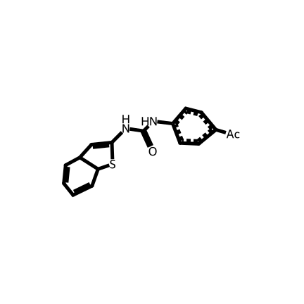 CC(=O)c1ccc(NC(=O)NC2=CC3C=CC=CC3S2)cc1